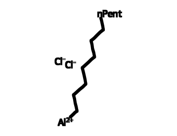 CCCCCCCCCCC[CH2][Al+2].[Cl-].[Cl-]